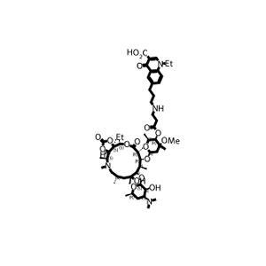 CC[C@@H]1OC(=O)[C@H](C)[C@H](O[C@@H]2C[C@](C)(OC)[C@H](OC(=O)CCNCCCc3ccc4c(c3)c(=O)c(C(=O)O)cn4CC)[C@H](C)O2)[C@@H](C)[C@H](O[C@@H]2O[C@H](C)C[C@H](N(C)C)[C@@H]2O)[C@](C)(O)C[C@H](C)CN(C)[C@@H](C)[C@H]2OC(=O)O[C@@]12C